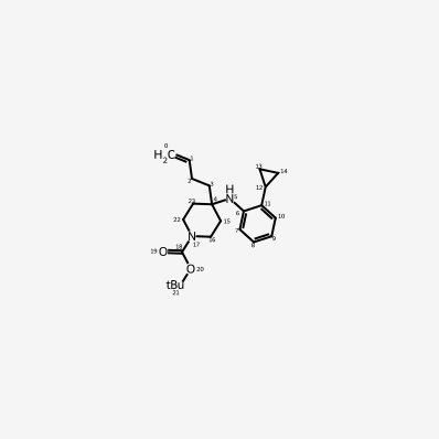 C=CCCC1(Nc2ccccc2C2CC2)CCN(C(=O)OC(C)(C)C)CC1